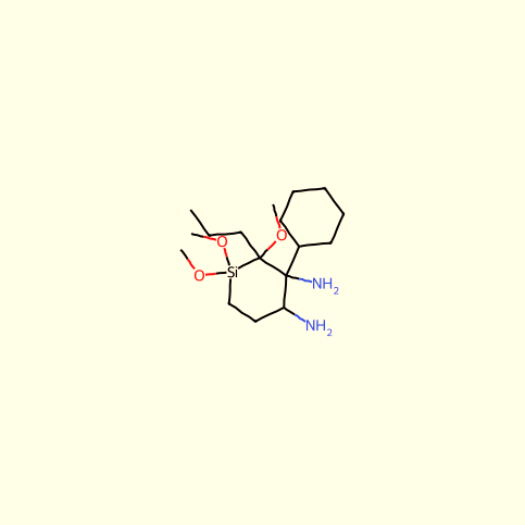 CCCC1(OC)C(N)(C2CCCCC2)C(N)CC[Si]1(OC)OC